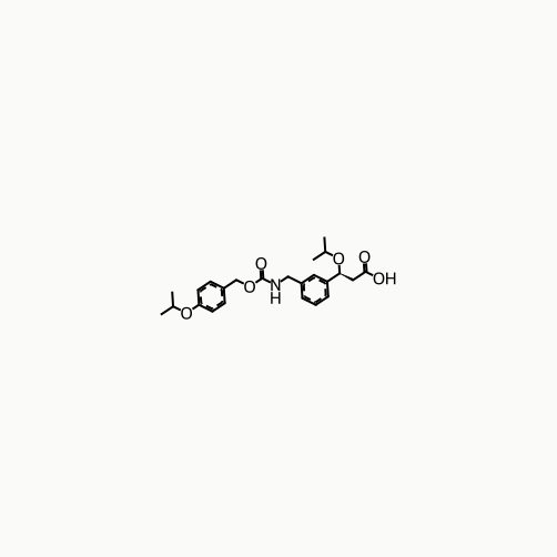 CC(C)Oc1ccc(COC(=O)NCc2cccc([C@H](CC(=O)O)OC(C)C)c2)cc1